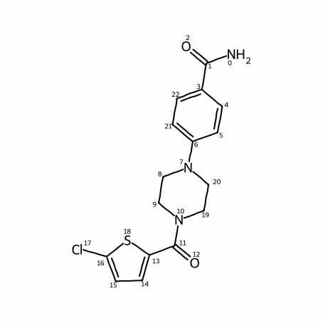 NC(=O)c1ccc(N2CCN(C(=O)c3ccc(Cl)s3)CC2)cc1